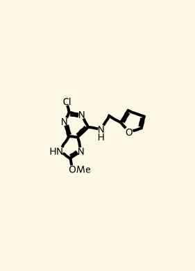 COc1nc2c(NCc3ccco3)nc(Cl)nc2[nH]1